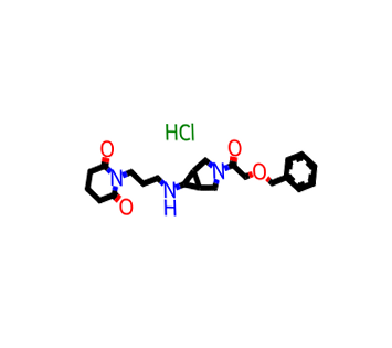 Cl.O=C(COCc1ccccc1)N1CC2C(C1)C2NCCCN1C(=O)CCCC1=O